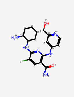 NC(=O)c1cc(F)c(NC2CCCCC2N)nc1Nc1ccnc(CO)c1